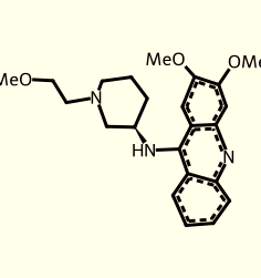 COCCN1CCC[C@@H](Nc2c3ccccc3nc3cc(OC)c(OC)cc23)C1